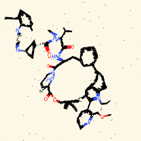 CCn1c(-c2cccnc2[C@H](C)OC)c2c3cc(ccc31)-c1cccc(c1)C[C@H](NC(=O)C(C(C)C)N(C)C(=O)[C@H]1C[C@H](N=C=Nc3c(C)cccc3C)C1)C(=O)N1CCC[C@H](N1)C(=O)OCC(C)(C)C2